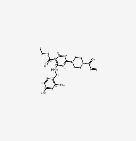 C=CC(=O)N1CCN(c2nnc(C(=O)OCC)c(NCc3ccc(Cl)cc3Cl)n2)CC1